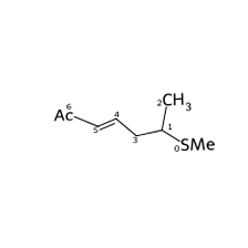 CSC(C)CC=CC(C)=O